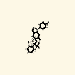 CC1=Cc2c(cnn2-c2ccc(F)cc2)C[C@@]1(C)CC(O)(c1ccccc1)C(F)(F)F